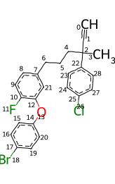 C#CC(C)(CCCc1ccc(F)c(Oc2ccc(Br)cc2)c1)c1ccc(Cl)cc1